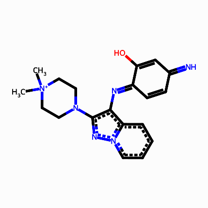 C[N+]1(C)CCN(c2nn3ccccc3c2/N=C2\C=CC(=N)C=C2O)CC1